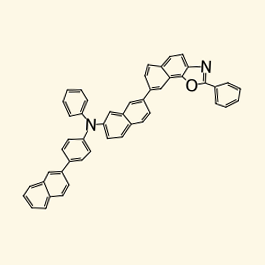 c1ccc(-c2nc3ccc4ccc(-c5ccc6ccc(N(c7ccccc7)c7ccc(-c8ccc9ccccc9c8)cc7)cc6c5)cc4c3o2)cc1